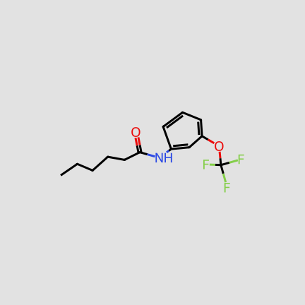 CCCCCC(=O)Nc1cccc(OC(F)(F)F)c1